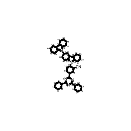 N#Cc1cc(-c2nc(-c3ccccc3)nc(-c3ccccc3)n2)ccc1-n1c2ccccc2c2cc(-n3c4ccccc4c4ccccc43)ccc21